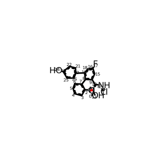 COc1ccccc1-c1c(C(=NO)NCl)cc(F)cc1-c1ccc(O)cc1